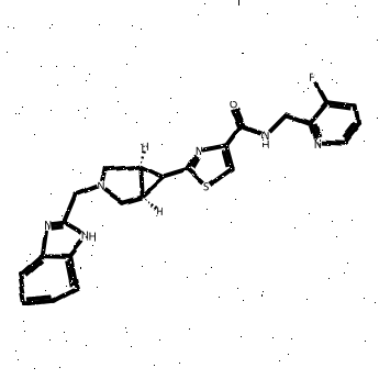 O=C(NCc1ncccc1F)c1csc(C2[C@H]3CN(Cc4nc5ccccc5[nH]4)C[C@@H]23)n1